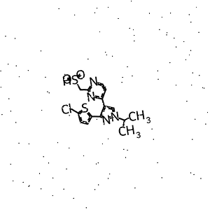 CC(C)n1cc(-c2ccnc(C[SH](=O)=O)n2)c(-c2ccc(Cl)s2)n1